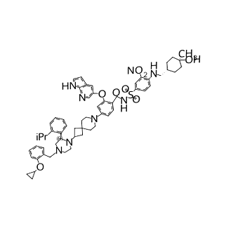 CC(C)c1ccccc1[C@@H]1CN(Cc2ccccc2OC2CC2)CCN1C1CC2(CCN(c3ccc(C(=O)NS(=O)(=O)c4ccc(NC[C@H]5CC[C@](C)(O)CC5)c([N+](=O)[O-])c4)c(Oc4cnc5[nH]ccc5c4)c3)CC2)C1